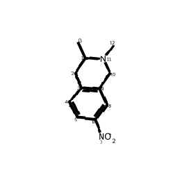 CC1Cc2ccc([N+](=O)[O-])cc2CN1C